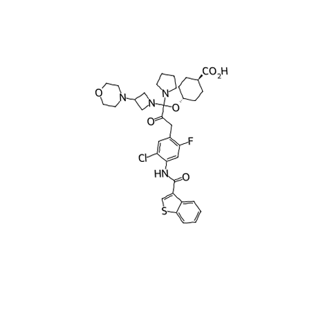 O=C(Nc1cc(F)c(CC(=O)C(O[C@H]2CC[C@H](C(=O)O)CC2)(N2CCCC2)N2CC(N3CCOCC3)C2)cc1Cl)c1csc2ccccc12